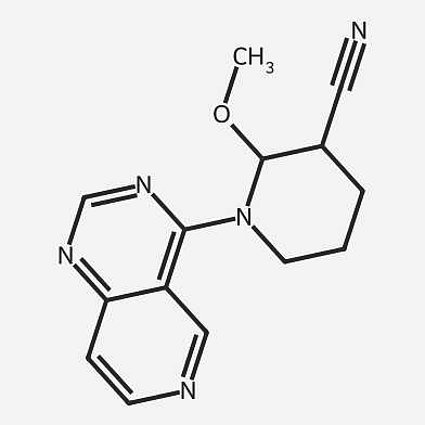 COC1C(C#N)CCCN1c1ncnc2ccncc12